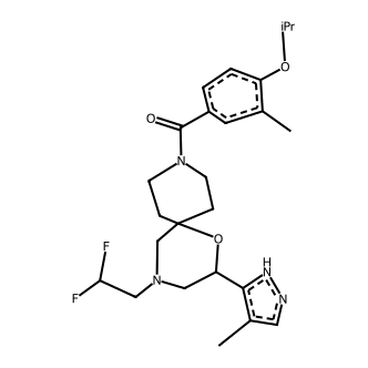 Cc1cc(C(=O)N2CCC3(CC2)CN(CC(F)F)CC(c2[nH]ncc2C)O3)ccc1OC(C)C